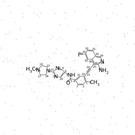 Cc1ccc(C(=O)Nc2cnc(N3CCN(C)CC3)nc2)cc1C#Cc1c(N)ncc2ccc(F)cc12